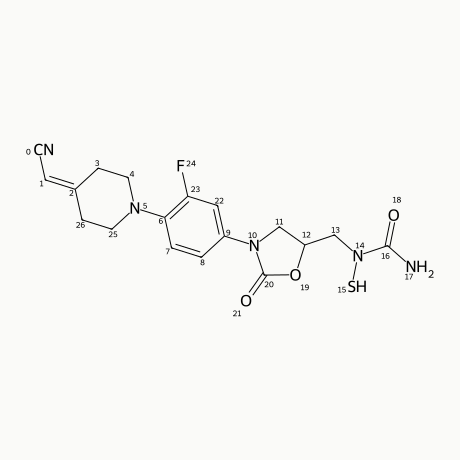 N#CC=C1CCN(c2ccc(N3CC(CN(S)C(N)=O)OC3=O)cc2F)CC1